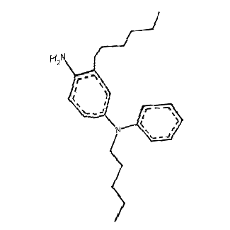 CCCCCc1cc(N(CCCCC)c2ccccc2)ccc1N